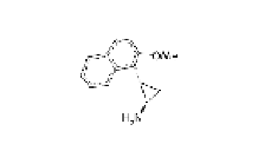 COc1ccc2ccccc2c1[C@@H]1C[C@H]1N